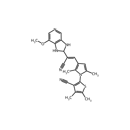 COc1cncc2c1NC(/C(C#N)=C/c1cc(C)n(-c3sc(C)c(C)c3C#N)c1C)N2